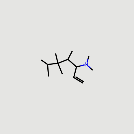 C=CC(C(C)C(C)(C)C(C)C)N(C)C